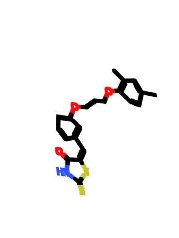 Cc1ccc(OCCCOc2cccc(C=C3SC(=S)NC3=O)c2)c(C)c1